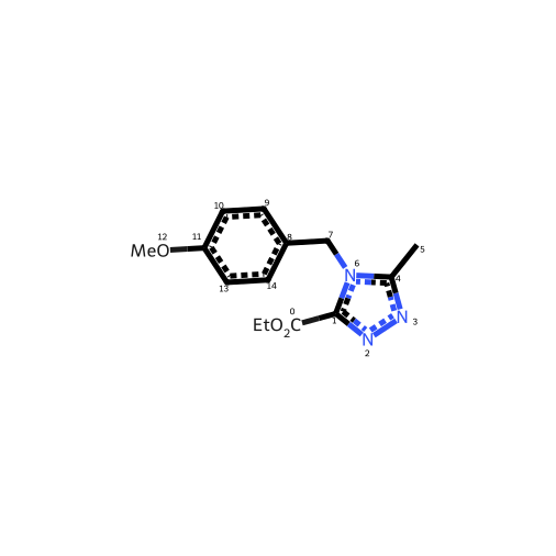 CCOC(=O)c1nnc(C)n1Cc1ccc(OC)cc1